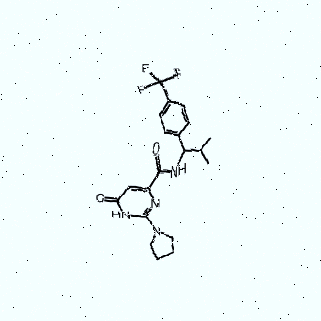 CC(C)C(NC(=O)c1cc(=O)[nH]c(N2CCCC2)n1)c1ccc(C(F)(F)F)cc1